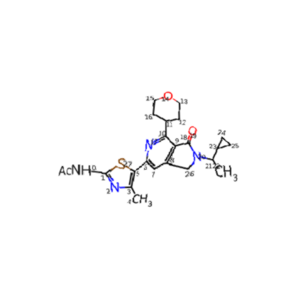 CC(=O)Nc1nc(C)c(-c2cc3c(c(C4CCOCC4)n2)C(=O)N(C(C)C2CC2)C3)s1